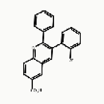 O=C(O)c1ccc2nc(-c3ccccc3)c(-c3ccccc3Br)cc2c1